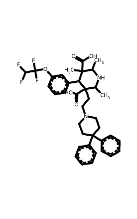 CC1NC(C)C(CCN2CCC(c3ccccc3)(c3ccccc3)CC2)(C(=O)O)C(c2cccc(OC(F)(F)C(F)F)c2)C1(C)C(=O)O